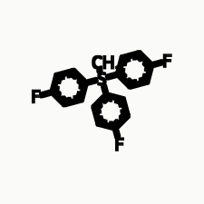 CS(c1ccc(F)cc1)(c1ccc(F)cc1)c1ccc(F)cc1